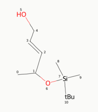 CC(C=CCO)O[Si](C)(C)C(C)(C)C